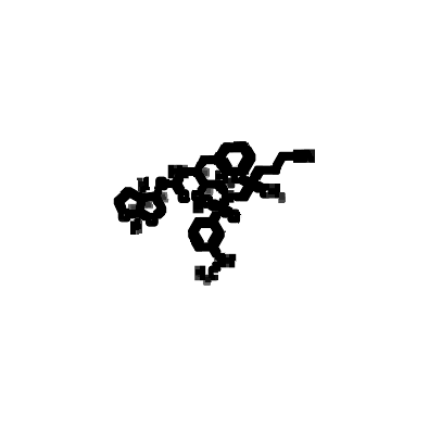 CNc1cccc(S(=O)(=O)N(C[C@@H](O)[C@H](Cc2ccccc2)NC(=O)O[C@H]2CO[C@H]3OCC[C@H]32)CC(C)(C)CCCC#N)c1